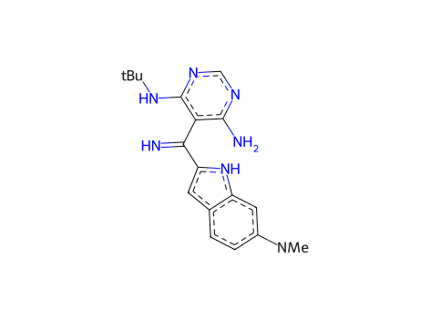 CNc1ccc2cc(C(=N)c3c(N)ncnc3NC(C)(C)C)[nH]c2c1